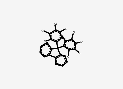 CC(=O)c1c(Cl)c(Cl)c(C2(c3c(Cl)c(Cl)c(C(C)=O)c(Cl)c3Cl)c3ccccc3-c3ccccc32)c(Cl)c1Cl